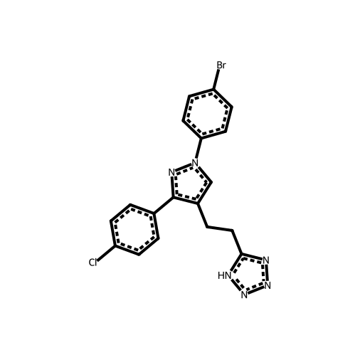 Clc1ccc(-c2nn(-c3ccc(Br)cc3)cc2CCc2nnn[nH]2)cc1